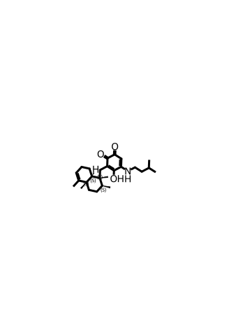 CC1=CCC[C@H]2[C@](C)(CC3=C(O)C(NCCC(C)C)=CC(=O)C3=O)[C@@H](C)CC[C@]12C